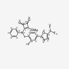 COc1c(N(Cc2ccc(-c3nnc(C(F)F)o3)cc2F)c2ccccc2)c(=O)c1=O